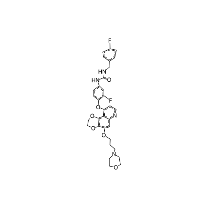 O=C(NCc1ccc(F)cc1)Nc1ccc(Oc2ccnc3cc(OCCCN4CCOCC4)c4c(c23)OCCO4)c(F)c1